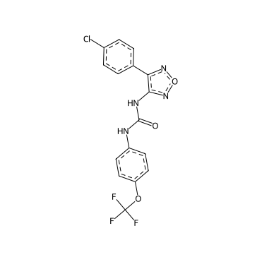 O=C(Nc1ccc(OC(F)(F)F)cc1)Nc1nonc1-c1ccc(Cl)cc1